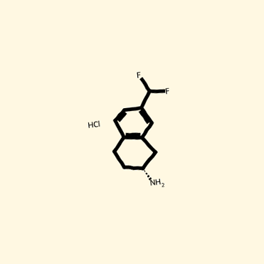 Cl.N[C@@H]1CCc2ccc(C(F)F)cc2C1